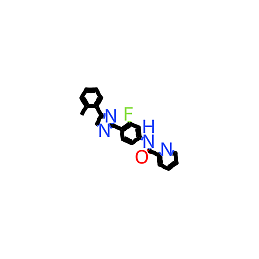 Cc1ccccc1C1=NC(c2ccc(NC(=O)c3ccccn3)cc2F)=NC1